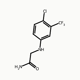 NC(=O)CNc1ccc(Cl)c(C(F)(F)F)c1